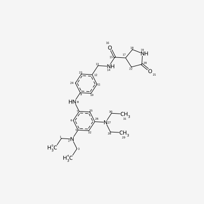 CCN(CC)c1cc(Nc2ccc(CNC(=O)C3CNC(=O)C3)cc2)cc(N(CC)CC)c1